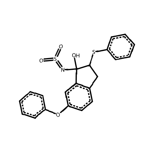 O=S(=O)=NC1(O)c2cc(Oc3ccccc3)ccc2CC1Sc1ccccc1